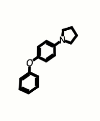 c1ccc(Oc2ccc(N3CCCC3)cc2)cc1